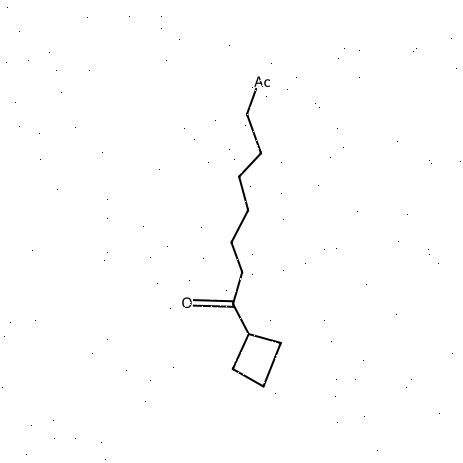 CC(=O)CCCCCCC(=O)C1CCC1